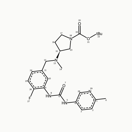 Cc1ccc(NC(=O)Nc2cc(CN(C)[C@H]3CCN(C(=O)OC(C)(C)C)C3)ccc2F)cn1